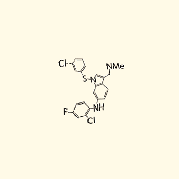 CNCc1cn(Sc2cccc(Cl)c2)c2cc(Nc3ccc(F)cc3Cl)ccc12